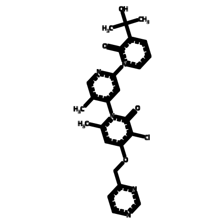 Cc1cnc(-n2cccc(C(C)(C)O)c2=O)cc1-n1c(C)cc(OCc2ccncn2)c(Cl)c1=O